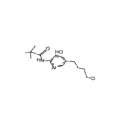 CC(C)(C)C(=O)Nc1ccc(CCCCCl)cn1.Cl